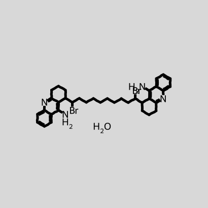 Nc1c2c(nc3ccccc13)CCCC2C(Br)CCCCCCCCC(Br)C1CCCc2nc3ccccc3c(N)c21.O